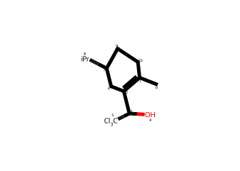 CC1=C(C(O)C(Cl)(Cl)Cl)CC(C(C)C)CC1